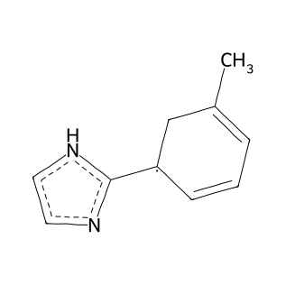 CC1=CC=C[C](c2ncc[nH]2)C1